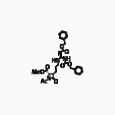 COC(=O)[C@@H]1[C@@H](CCCNC(=NC(=O)OCc2ccccc2)NC(=O)OCc2ccccc2)C(=O)N1C(C)=O